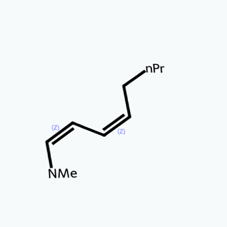 CCCC/C=C\C=C/NC